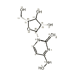 C=C1N=C(NO)C=CN1[C@@H]1O[C@H](CO)C(O)[C@@H]1O